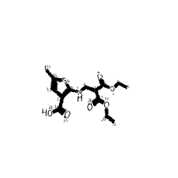 CCOC(=O)C(=CNc1sc(I)cc1C(=O)O)C(=O)OCC